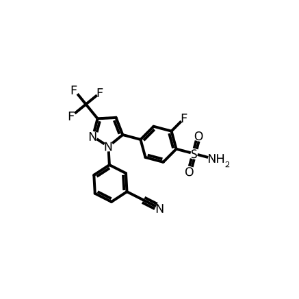 N#Cc1cccc(-n2nc(C(F)(F)F)cc2-c2ccc(S(N)(=O)=O)c(F)c2)c1